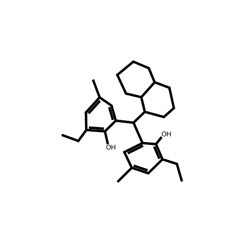 CCc1cc(C)cc(C(c2cc(C)cc(CC)c2O)C2CCCC3CCCCC32)c1O